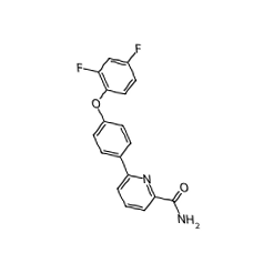 NC(=O)c1cccc(-c2ccc(Oc3ccc(F)cc3F)cc2)n1